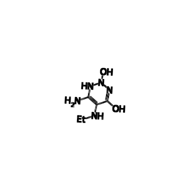 CCNC1=C(N)NN(O)N=C1O